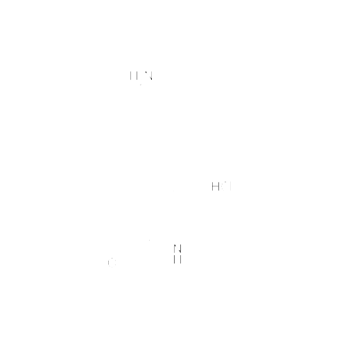 Cl.Nc1cccc(C2CNC(=O)C2)c1